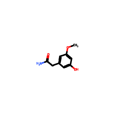 COc1cc(O)cc(CC(N)=O)c1